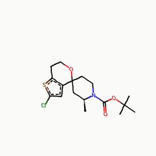 C[C@H]1CC2(CCN1C(=O)OC(C)(C)C)OCCc1sc(Cl)cc12